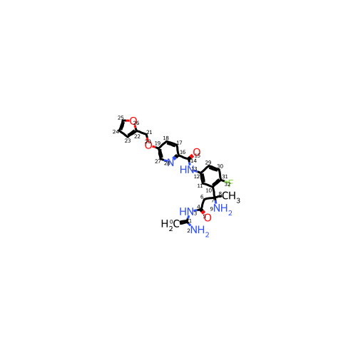 C=C(N)NC(=O)CC(C)(N)c1cc(NC(=O)c2ccc(OCc3ccco3)cn2)ccc1F